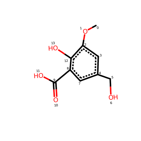 COc1cc(CO)cc(C(=O)O)c1O